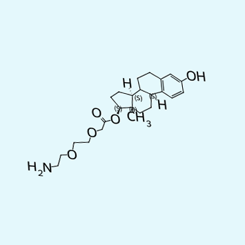 C[C@]12CC[C@@H]3c4ccc(O)cc4CCC3[C@@H]1CC[C@@H]2OC(=O)COCCOCCN